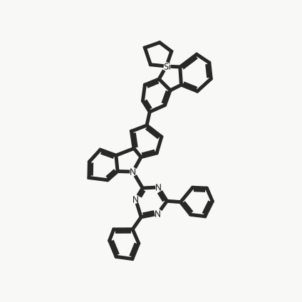 c1ccc(-c2nc(-c3ccccc3)nc(-n3c4ccccc4c4cc(-c5ccc6c(c5)-c5ccccc5[Si]65CCCC5)ccc43)n2)cc1